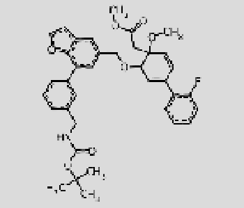 COC(=O)CC1(OC)C=CC(c2ccccc2F)=CC1OCc1cc(-c2cccc(CNC(=O)OC(C)(C)C)c2)c2occc2c1